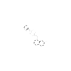 Cc1ccc2cccc(CN3CCN(c4nccs4)CC3)c2c1